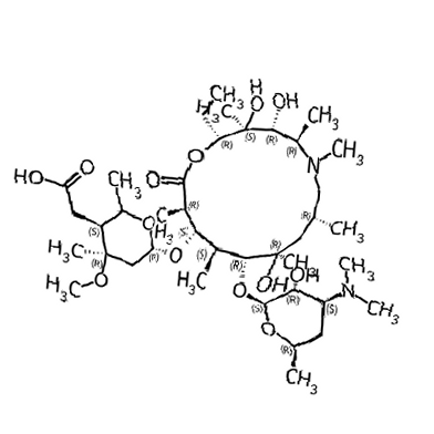 CC[C@H]1OC(=O)[C@H](C)[C@@H](O[C@@H]2C[C@@](C)(OC)[C@@H](CC(=O)O)C(C)O2)[C@H](C)[C@@H](O[C@@H]2O[C@H](C)C[C@H](N(C)C)[C@H]2O)[C@](C)(O)C[C@@H](C)CN(C)[C@H](C)[C@@H](O)[C@]1(C)O